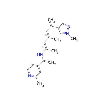 C=C(/C=C(C)/C=C(\C)NC(=C)c1ccnc(C)c1)c1cnn(C)c1